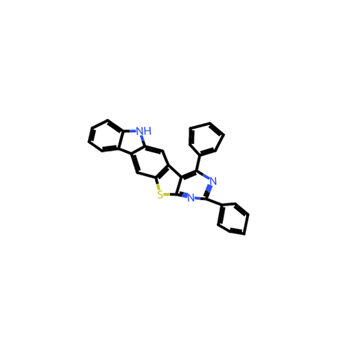 c1ccc(-c2nc(-c3ccccc3)c3c(n2)sc2cc4c(cc23)[nH]c2ccccc24)cc1